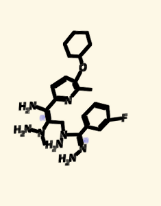 Cc1nc(/C(N)=C(\CN(N)/C(=N\N)c2cccc(F)c2)N(C)N)ccc1OC1CCCCC1